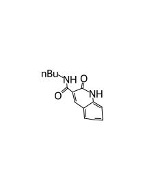 CCCCNC(=O)c1cc2ccccc2[nH]c1=O